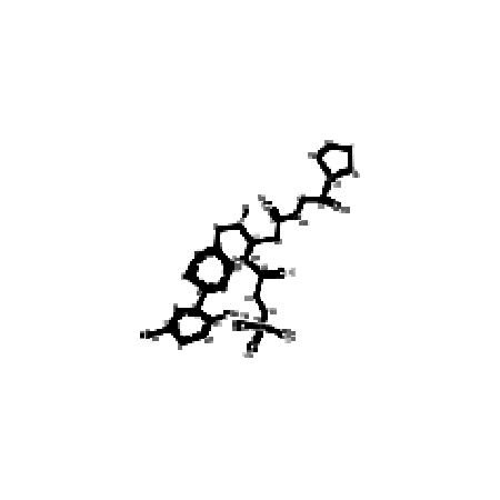 C[C@@H](Cc1ccc(-c2cc(Cl)ccc2F)cc1)C(CC(=O)OCC(=O)N1CCCC1)NC(=O)CCP(=O)(O)O